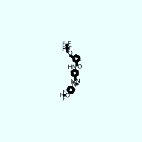 O=C(Nc1ccc(-c2ncn(-c3ccc(OC(F)(F)F)cc3)n2)cc1)c1cccc(COCC(F)(F)C(F)F)c1